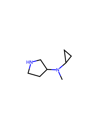 CN(C1CC1)C1CCNC1